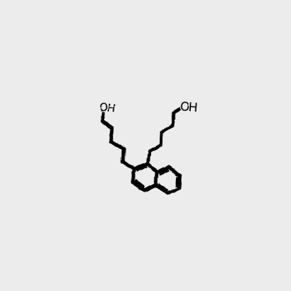 OCCCCCc1ccc2ccccc2c1CCCCCO